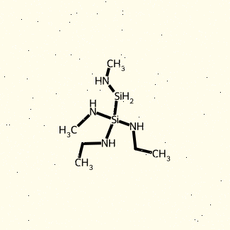 CCN[Si](NC)(NCC)[SiH2]NC